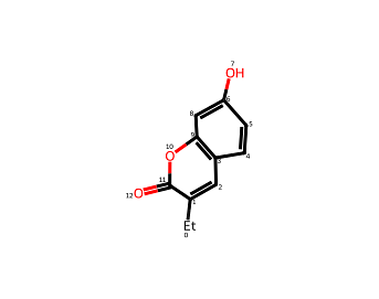 CCc1cc2ccc(O)cc2oc1=O